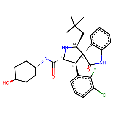 CC(C)(C)C[C@@H]1N[C@@H](C(=O)N[C@H]2CC[C@H](O)CC2)[C@H](c2cccc(Cl)c2F)[C@]12C(=O)Nc1ccccc12